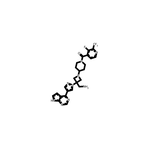 NCC1(n2cc(-c3ncnc4[nH]ccc34)cn2)CN(C2CCN(C(=O)c3ccnc(C(F)(F)F)c3F)CC2)C1